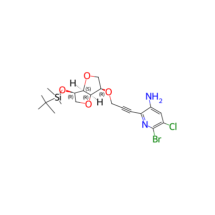 CC(C)(C)[Si](C)(C)O[C@@H]1CO[C@H]2[C@@H]1OC[C@H]2OCC#Cc1nc(Br)c(Cl)cc1N